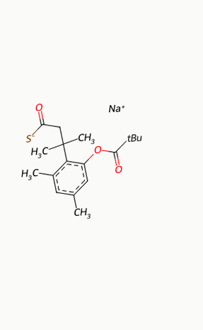 Cc1cc(C)c(C(C)(C)CC(=O)[S-])c(OC(=O)C(C)(C)C)c1.[Na+]